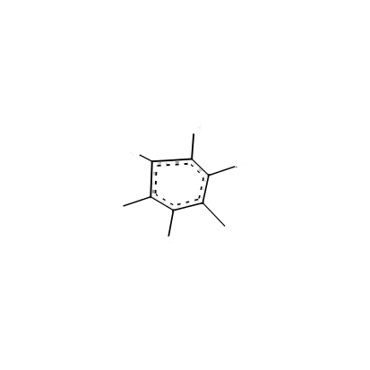 Cc1c(Br)c(C)c(Br)c(O)c1Br